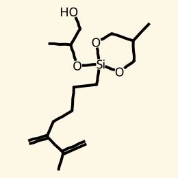 C=C(C)C(=C)CCCC[Si]1(OC(C)CO)OCC(C)CO1